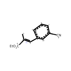 CCOC(=O)/C(C)=C/c1cccc(C#N)c1